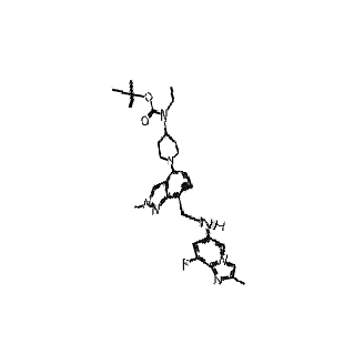 CCN(C(=O)OC(C)(C)C)C1CCN(c2ccc(CNc3cc(F)c4nc(C)cn4c3)c3nn(C)cc23)CC1